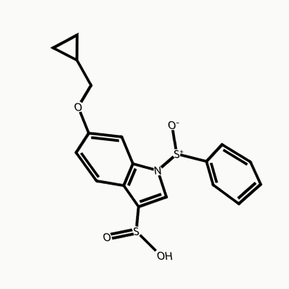 O=S(O)c1cn([S+]([O-])c2ccccc2)c2cc(OCC3CC3)ccc12